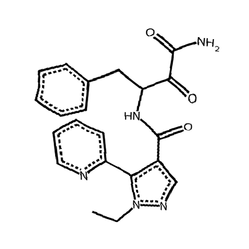 CCn1ncc(C(=O)NC(Cc2ccccc2)C(=O)C(N)=O)c1-c1ccccn1